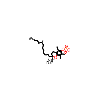 Cc1c(C)c2c(c(C)c1OP(=O)([O-])[O-])CC[C@@](C)(CCC[C@H](C)CCC[C@H](C)CCCC(C)C)O2.[Na+].[Na+]